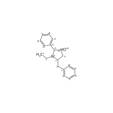 CCN1C(Cc2ccccc2)CCC1c1ccccc1.Cl